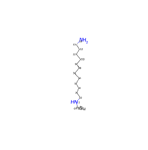 CCCCNCCCCCCCCCCCCN